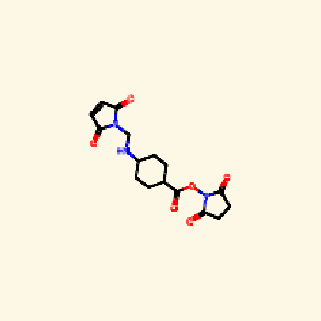 O=C(ON1C(=O)CCC1=O)C1CCC(NCN2C(=O)C=CC2=O)CC1